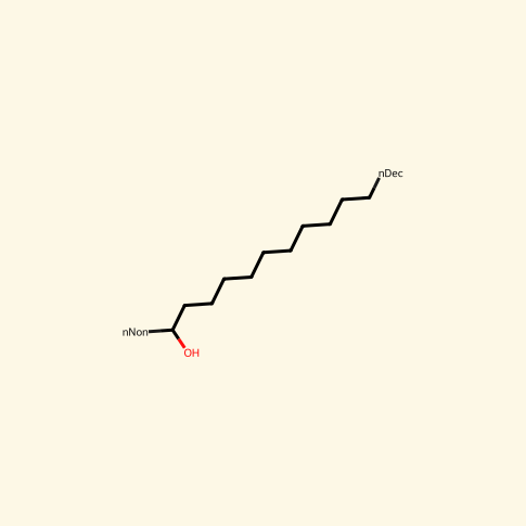 CCCCCCCCCCCCCCCCCCCCC(O)CCCCCCCCC